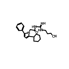 N#CCCCNC(=N)NC(=O)Cn1c(-c2ccccc2)ccc1C1CCCCC1